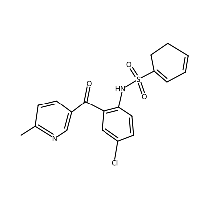 Cc1ccc(C(=O)c2cc(Cl)ccc2NS(=O)(=O)C2=CC=CCC2)cn1